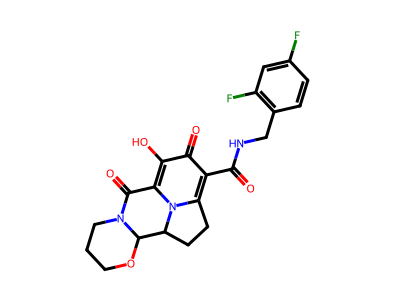 O=C(NCc1ccc(F)cc1F)c1c2n3c(c(O)c1=O)C(=O)N1CCCOC1C3CC2